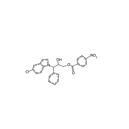 O=C(OCC(O)C(c1ccccc1)n1ccc2cc(Cl)ccc21)c1ccc([N+](=O)[O-])cc1